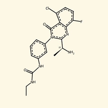 CCNC(=O)Nc1cccc(-n2c([C@H](C)N)nc3c(F)ccc(Cl)c3c2=O)c1